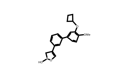 COc1ccc(-c2cccc(C3=COB(O)C3)c2)cc1OC1CCC1